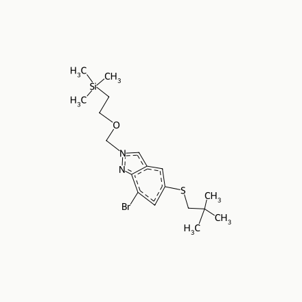 CC(C)(C)CSc1cc(Br)c2nn(COCC[Si](C)(C)C)cc2c1